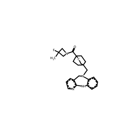 CC1(F)CN(C(=O)C23CCC(CN4Cc5cccnc5Nc5ccccc54)(CC2)CC3)C1